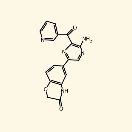 Nc1ncc(-c2ccc3c(c2)NC(=O)CO3)nc1C(=O)c1cccnc1